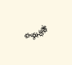 CC1(C)c2sc(-c3ccnc(Nc4ccnn4S(C)(=O)=O)n3)cc2C(=O)N1CCN1CCOCC1